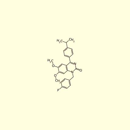 COc1cc2c(-c3ccc(C(C)C)cc3)nc(=O)n(Cc3ccc(F)cc3)c2cc1OC